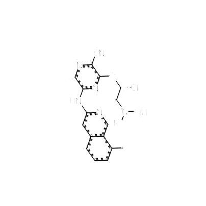 CCN(O)C[C@@H](C)Oc1nc(Nc2cc3cccc(Cl)c3cn2)cnc1C#N